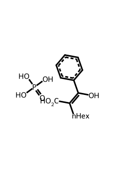 CCCCCCC(C(=O)O)=C(O)c1ccccc1.O=P(O)(O)O